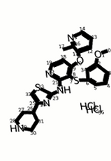 COc1cccc(Sc2c(Oc3cccnc3C)ccnc2Nc2nc(C3CCNCC3)cs2)c1.Cl.Cl